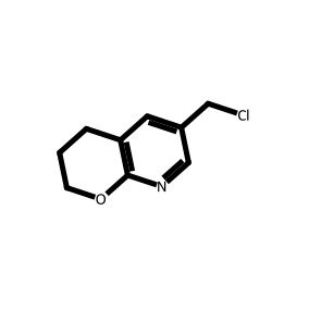 ClCc1cnc2c(c1)CCCO2